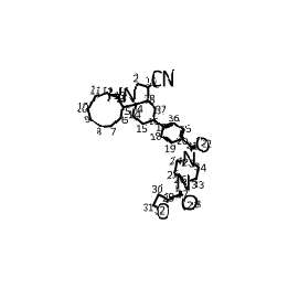 N#CC1CNC2(C3CCCCCCCC3)CCC(c3ccc(C(=O)N4CCN(C(=O)C5CCO5)CC4)cc3)CC12